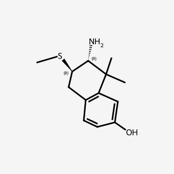 CS[C@@H]1Cc2ccc(O)cc2C(C)(C)[C@H]1N